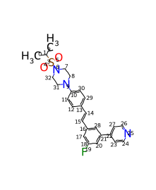 CC(C)S(=O)(=O)N1CCN(c2ccc(C=Cc3cc(F)cc(-c4ccncc4)c3)cc2)CC1